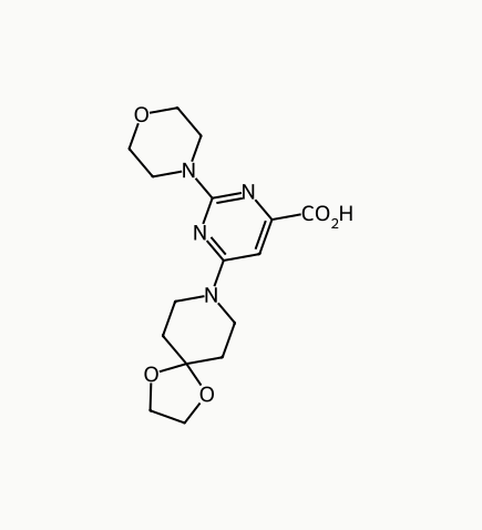 O=C(O)c1cc(N2CCC3(CC2)OCCO3)nc(N2CCOCC2)n1